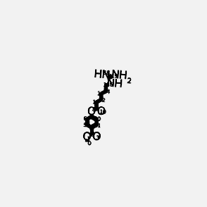 COC(=O)c1ccc(OC(=O)CCCCCNC(=N)N)cc1